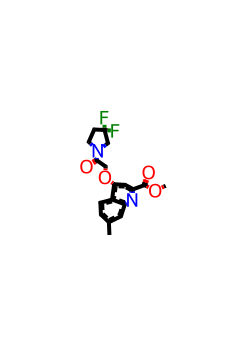 COC(=O)c1cc(OCC(=O)N2CCC(F)(F)C2)c2ccc(C)cc2n1